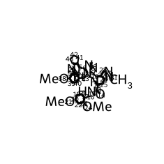 CCn1nc2c(c1-c1nnc(-c3nc(C(=O)NCc4ccc(OC)cc4OC)cc4c3cnn4C)n1Cc1ccc(OC)cc1)CCC2